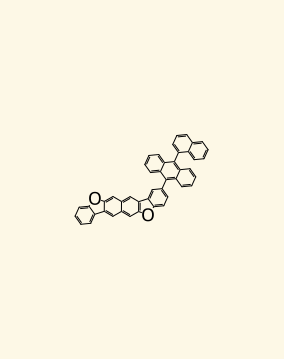 c1ccc2c(-c3c4ccccc4c(-c4ccc5oc6cc7cc8c(cc7cc6c5c4)oc4ccccc48)c4ccccc34)cccc2c1